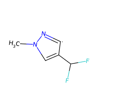 Cn1cc(C(F)F)[c]n1